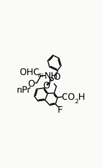 CCCOC[C@@H](C=O)NP(=O)(Cc1c(C(=O)O)c(F)cc2ccccc12)Oc1ccccc1